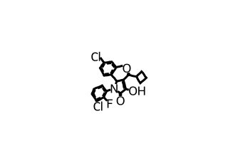 Cc1cc(Cl)ccc1C1C(C(=O)C2CCC2)=C(O)C(=O)N1c1cccc(Cl)c1F